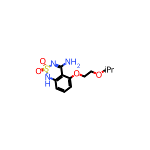 CC(C)OCCOc1cccc2c1C(N)=NS(=O)(=O)N2